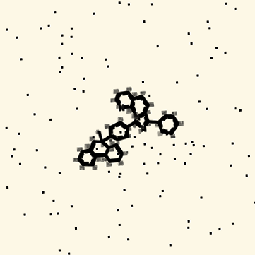 CC1(c2ccc(-c3nc(-c4ccccc4)c4ccc5cccnc5n34)cc2)C=c2ccccc2=C2C=CC=CC21